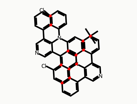 CC(C)(C)c1cc(N(c2cccc(Cl)c2)c2c(-c3ccccc3)cncc2-c2ccccc2)cc(N(c2cccc(Cl)c2)c2c(-c3ccccc3)cncc2-c2ccccc2)c1